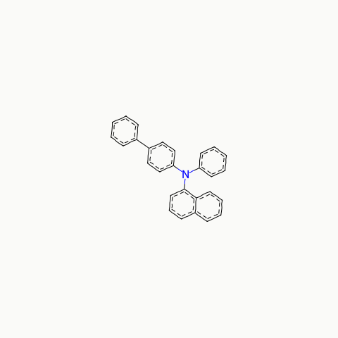 c1ccc(-c2ccc(N(c3ccccc3)c3cccc4ccccc34)cc2)cc1